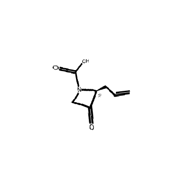 C=CC[C@H]1C(=O)CN1C(=O)O